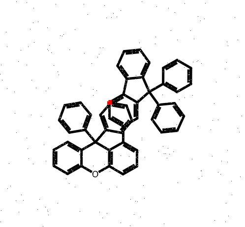 c1ccc(C2(c3ccccc3)c3ccccc3-c3ccc(-c4cccc5c4C(c4ccccc4)(c4ccccc4)c4ccccc4O5)cc32)cc1